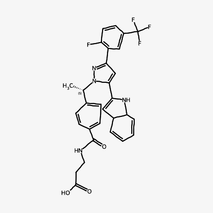 C[C@@H](c1ccc(C(=O)NCCC(=O)O)cc1)n1nc(-c2cc(C(F)(F)F)ccc2F)cc1C1=CC2C=CC=CC2N1